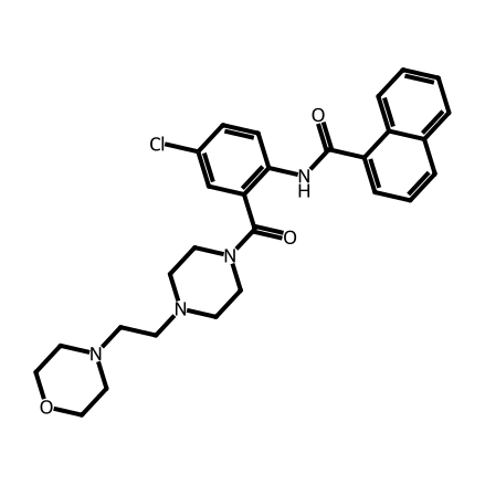 O=C(Nc1ccc(Cl)cc1C(=O)N1CCN(CCN2CCOCC2)CC1)c1cccc2ccccc12